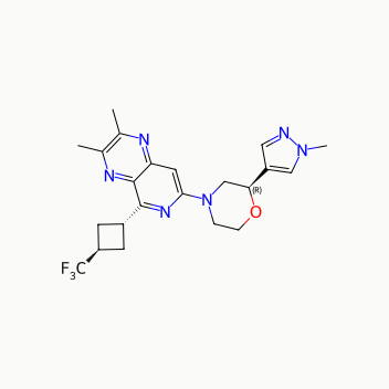 Cc1nc2cc(N3CCO[C@H](c4cnn(C)c4)C3)nc([C@H]3C[C@H](C(F)(F)F)C3)c2nc1C